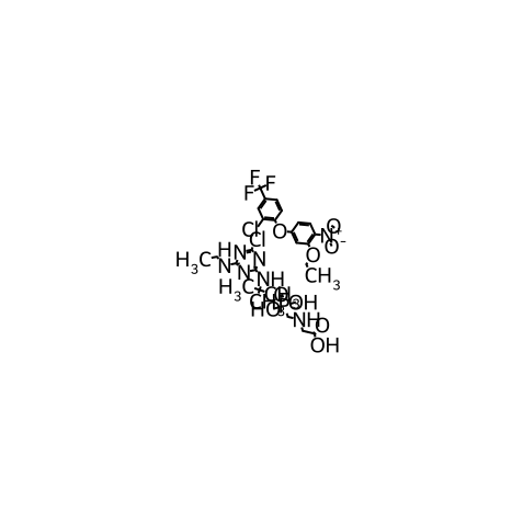 CCNc1nc(Cl)nc(NC(C)(C)C)n1.CCOc1cc(Oc2ccc(C(F)(F)F)cc2Cl)ccc1[N+](=O)[O-].O=C(O)CNCP(=O)(O)O